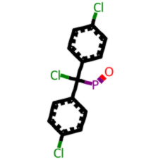 O=PC(Cl)(c1ccc(Cl)cc1)c1ccc(Cl)cc1